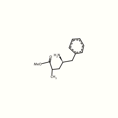 COC(=O)C(C)C[C@@H](N)Cc1ccccc1